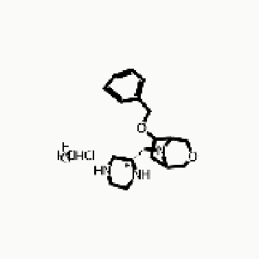 Cl.Cl.Cl.c1ccc(COC2CC3COCC2N3C[C@H]2CNCCN2)cc1